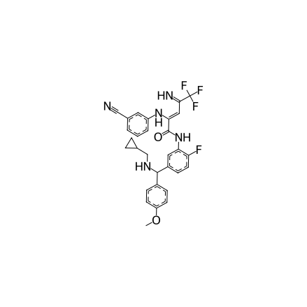 COc1ccc(C(NCC2CC2)c2ccc(F)c(NC(=O)/C(=C/C(=N)C(F)(F)F)Nc3cccc(C#N)c3)c2)cc1